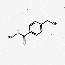 CC(C)(C)NC(=O)c1ccc(CO)cc1